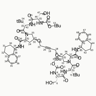 CC(C)(C)OC(=O)N[C@@H](CO)C(=O)N[C@H](C(=O)N1C[C@@H](OCC#CCO[C@H]2C[C@@H](C(=O)N[C@@H]3CCCc4ccccc43)N(C(=O)[C@@H](NC(=O)[C@H](CO)NC(=O)OC(C)(C)C)C(C)(C)C)C2)C[C@H]1C(=O)N[C@@H]1CCCc2ccccc21)C(C)(C)C